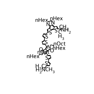 CCCCCCCCC(CCCCCC)CN1C(=O)C2=C(c3ccc(-c4ccc(C(C)(C)N)s4)s3)N(CC(CCCCCC)CCCCCCCC)C(=O)C2=C1c1ccc(-c2ccc(-c3cc4c5nc(CCCCCC)c(CCCCCC)nc5c5cc(C(C)(C)N)sc5c4s3)s2)s1